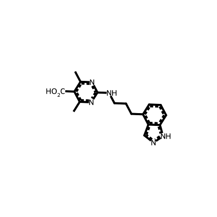 Cc1nc(NCCCc2cccc3[nH]ncc23)nc(C)c1C(=O)O